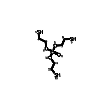 O=P(OCCS)(OCCS)OCCS